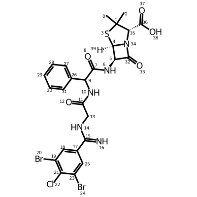 CC1(C)S[C@@H]2[C@H](NC(=O)C(NC(=O)CNC(=N)c3cc(Br)c(Cl)c(Br)c3)c3ccccc3)C(=O)N2[C@H]1C(=O)O